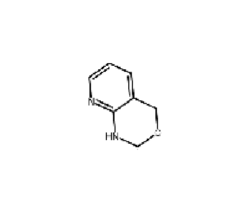 [CH]1Nc2ncccc2CO1